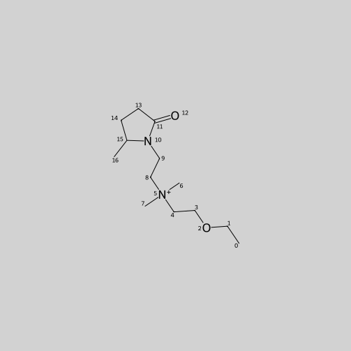 CCOCC[N+](C)(C)CCN1C(=O)CCC1C